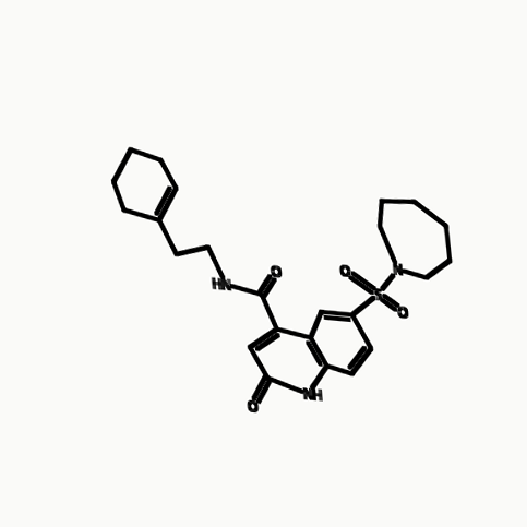 O=C(NCCC1=CCCCC1)c1cc(=O)[nH]c2ccc(S(=O)(=O)N3CCCCCC3)cc12